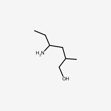 CCC(N)CC(C)CO